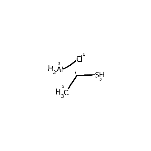 CCS.[AlH2][Cl]